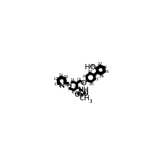 CS(=O)(=O)N[C@H]1CCN(c2ccccn2)CC1COC1CCC(c2ccccc2O)CC1